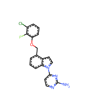 Nc1nccc(-n2ccc3c(COc4cccc(Cl)c4F)cccc32)n1